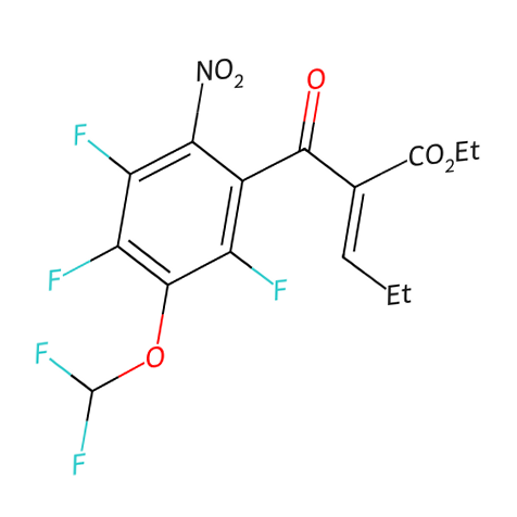 CCC=C(C(=O)OCC)C(=O)c1c(F)c(OC(F)F)c(F)c(F)c1[N+](=O)[O-]